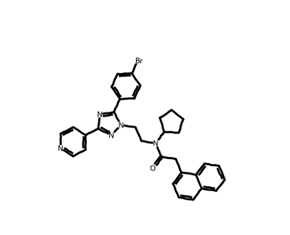 O=C(Cc1cccc2ccccc12)N(CCn1nc(-c2ccncc2)nc1-c1ccc(Br)cc1)C1CCCC1